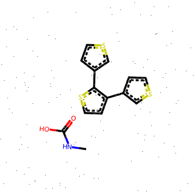 CNC(=O)O.c1cc(-c2ccsc2-c2ccsc2)cs1